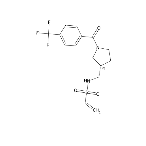 C=CS(=O)(=O)NC[C@H]1CCN(C(=O)c2ccc(C(F)(F)F)cc2)C1